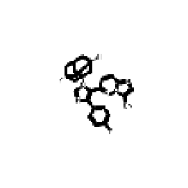 N#Cc1cnc2ccc(-c3c(-c4ccc(F)cc4)ncn3[C@]34CC5C[C@H](C[C@H](C5)C3)C4)nn12